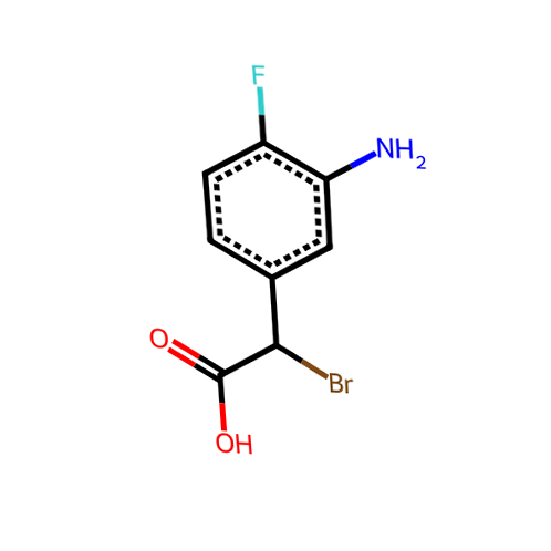 Nc1cc(C(Br)C(=O)O)ccc1F